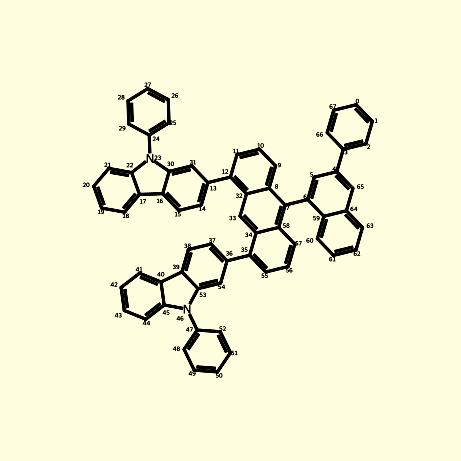 c1ccc(-c2cc(-c3c4cccc(-c5ccc6c7ccccc7n(-c7ccccc7)c6c5)c4cc4c(-c5ccc6c7ccccc7n(-c7ccccc7)c6c5)cccc34)c3ccccc3c2)cc1